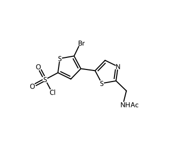 CC(=O)NCc1ncc(-c2cc(S(=O)(=O)Cl)sc2Br)s1